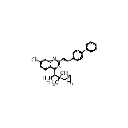 CC(C)(CN)C(N)c1nc(C=Cc2ccc(-c3ccccc3)cc2)nc2cc(Cl)ccc12